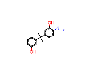 CC(C)(c1cccc(O)c1)c1ccc(N)c(O)c1